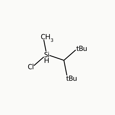 C[SiH](Cl)C(C(C)(C)C)C(C)(C)C